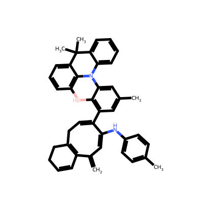 C=C1/C=C(Nc2ccc(C)cc2)\C(c2cc(C)cc3c2Bc2cccc4c2N3c2ccccc2C4(C)C)=C/CC2=C1C=CCC2